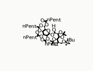 CCCCCC(=O)OC[C@H]1O[C@H](OC(O)[C@H]2OC(C)(C)O[C@H]2[C@@H]2OC(C)(C)O[C@@H]2CO[Si](C)(C)C(C)(C)C)[C@@H](OC(=O)CCCCC)[C@@H](OC(=O)CCCCC)[C@@H]1OC(=O)CCCCC